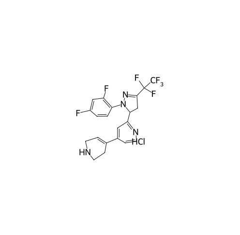 Cl.Fc1ccc(N2N=C(C(F)(F)C(F)(F)F)CC2c2cc(C3=CCNCC3)ccn2)c(F)c1